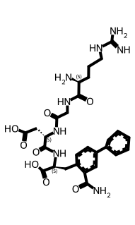 N=C(N)NCCC[C@H](N)C(=O)NCC(=O)N[C@@H](CC(=O)O)C(=O)N[C@@H](Cc1ccc(-c2ccccc2)cc1C(N)=O)C(=O)O